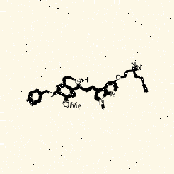 C#CCCC1(CCOc2cnc3c(c2)c(/C=C/C2NCCc4cc(OCc5ccccc5)c(OC)cc42)cn3C)N=N1